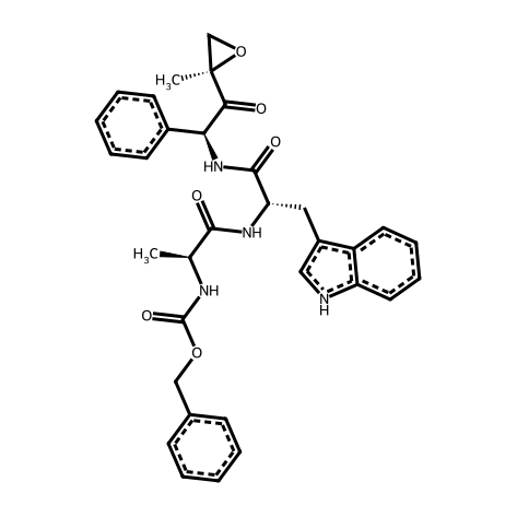 C[C@H](NC(=O)OCc1ccccc1)C(=O)N[C@@H](Cc1c[nH]c2ccccc12)C(=O)N[C@H](C(=O)[C@@]1(C)CO1)c1ccccc1